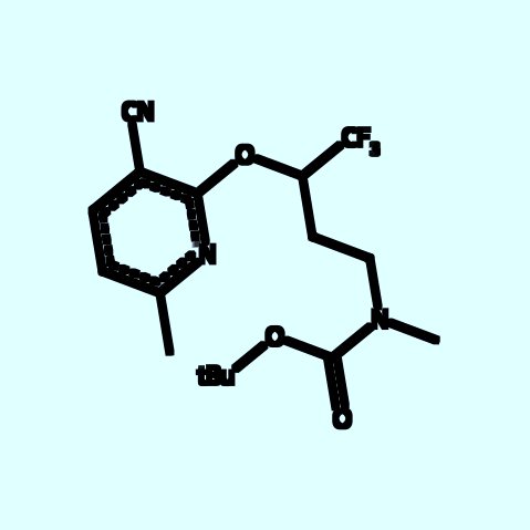 Cc1ccc(C#N)c(OC(CCN(C)C(=O)OC(C)(C)C)C(F)(F)F)n1